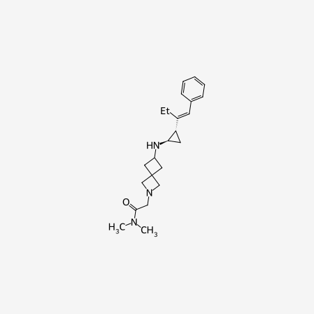 CC/C(=C\c1ccccc1)[C@@H]1C[C@H]1NC1CC2(C1)CN(CC(=O)N(C)C)C2